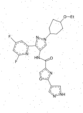 CCOC1CCC(n2cc(NC(=O)c3coc(-c4cn[nH]c4)n3)c(-c3cc(F)cc(F)n3)n2)CC1